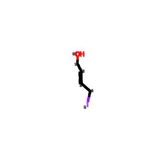 OCC=CCI